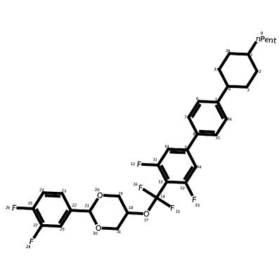 CCCCCC1CCC(c2ccc(-c3cc(F)c(C(F)(F)OC4COC(c5ccc(F)c(F)c5)OC4)c(F)c3)cc2)CC1